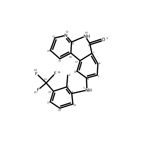 Cc1c(Nc2ccc3c(=O)[nH]c4ncccc4c3c2)cccc1C(F)(F)F